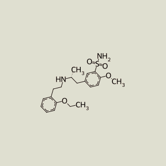 CCOc1ccccc1CCN[C@H](C)Cc1ccc(OC)c(S(N)(=O)=O)c1